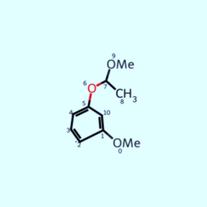 COc1[c]ccc(OC(C)OC)c1